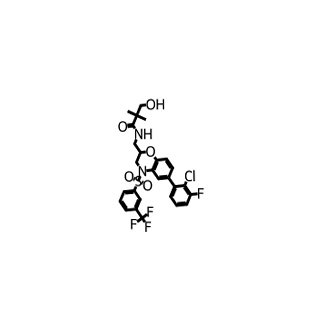 CC(C)(CO)C(=O)NCC1CN(S(=O)(=O)c2cccc(C(F)(F)F)c2)c2cc(-c3cccc(F)c3Cl)ccc2O1